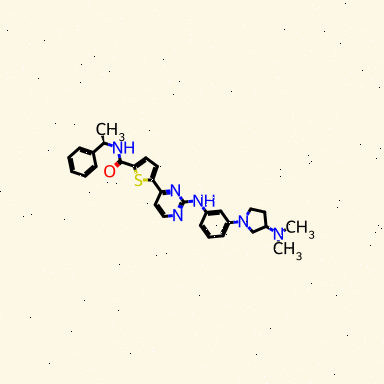 C[C@@H](NC(=O)c1ccc(-c2ccnc(Nc3cccc(N4CCC(N(C)C)C4)c3)n2)s1)c1ccccc1